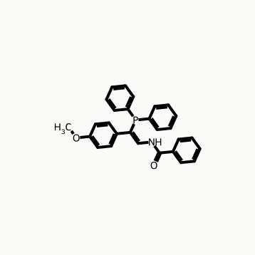 COc1ccc(C(=CNC(=O)c2ccccc2)P(c2ccccc2)c2ccccc2)cc1